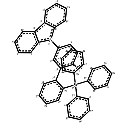 N#Cc1ccc(-n2c3ccccc3c3ccccc32)cc1-c1ccccc1[Si](c1ccccc1)(c1ccccc1)c1ccccc1